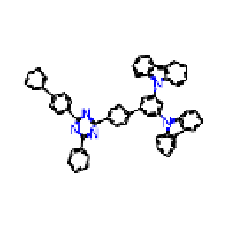 c1ccc(-c2ccc(-c3nc(-c4ccccc4)nc(-c4ccc(-c5cc(-n6c7ccccc7c7ccccc76)cc(-n6c7ccccc7c7ccccc76)c5)cc4)n3)cc2)cc1